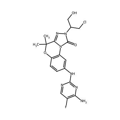 CC1(C)Oc2ccc(Nc3ncc(F)c(N)n3)cc2-n2c1nn(C(CO)CCl)c2=O